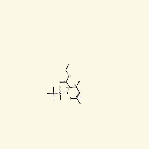 C=C(OCC)[C@@H](O[Si](C)(C)C(C)(C)C)[C@@H](C)/C=C(/C)I